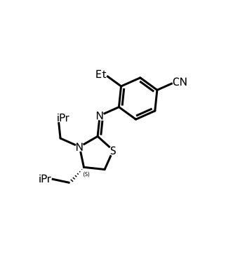 CCc1cc(C#N)ccc1N=C1SC[C@H](CC(C)C)N1CC(C)C